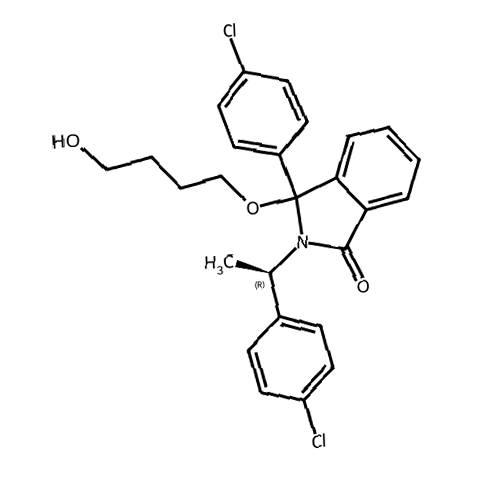 C[C@H](c1ccc(Cl)cc1)N1C(=O)c2ccccc2C1(OCCCCO)c1ccc(Cl)cc1